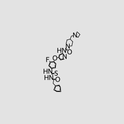 O=C(Cc1ccccc1)NC(=S)Nc1ccc(Oc2ccnc(NC(=O)N3CCC(CN4CCC4)CC3)c2)c(F)c1